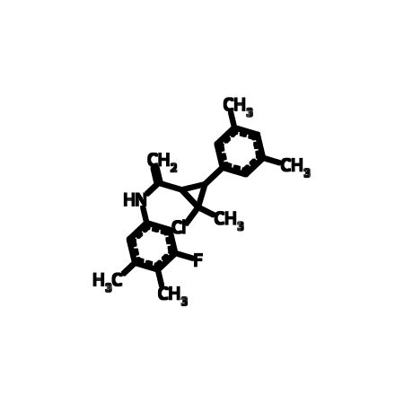 C=C(Nc1cc(C)c(C)c(F)c1)C1C(c2cc(C)cc(C)c2)C1(C)Cl